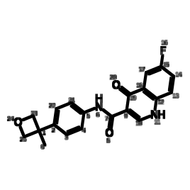 CC1(c2ccc(NC(=O)c3c[nH]c4ccc(F)cc4c3=O)cc2)COC1